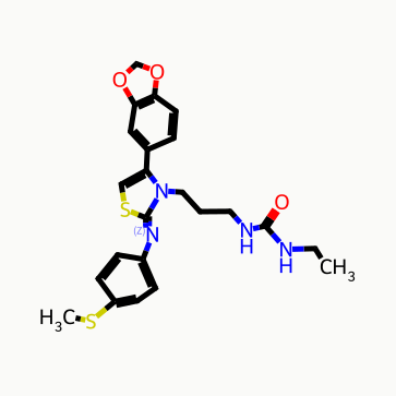 CCNC(=O)NCCCn1c(-c2ccc3c(c2)OCO3)cs/c1=N\c1ccc(SC)cc1